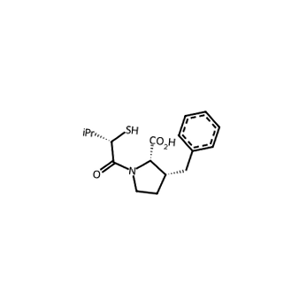 CC(C)[C@H](S)C(=O)N1CC[C@@H](Cc2ccccc2)[C@H]1C(=O)O